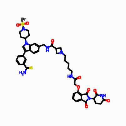 CC(C)S(=O)(=O)N1CCC(n2cc(-c3cccc(C(N)=S)c3)c3ccc(CNC(=O)C4CN(CCCCCNC(=O)COc5cccc6c5C(=O)N(C5CCC(=O)NC5=O)C6=O)C4)cc32)CC1